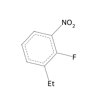 CCc1cccc([N+](=O)[O-])c1F